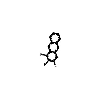 Fc1[c]c2cc3ccccc3cc2c(F)c1F